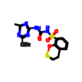 COc1nc(C)nc(NC(=O)NS(=O)(=O)c2cccc3c2OSCC3)n1